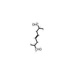 CC(C=O)C/C=C/CC(C)C=O